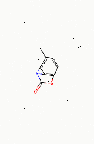 Cc1ccc2oc(=O)n3c2c1-3